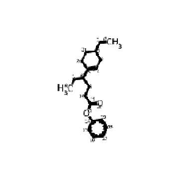 CCC1CC=C(C(CC)CCC(=O)Oc2ccccc2)CC1